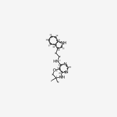 CC1(C)COc2c(NCCc3c[nH]c4ccccc34)ncnc2N1